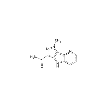 Cn1nc(C(N)=O)c2[nH]c3cccnc3c21